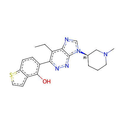 CCc1c(-c2ccc3sccc3c2O)nnc2c1ncn2[C@@H]1CCCN(C)C1